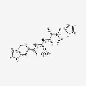 CCOC(=O)C[C@H](NC(=O)Nc1cccn(Cc2cccs2)c1=O)c1ccc2c(c1)OCO2